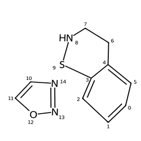 c1ccc2c(c1)CCNS2.c1conn1